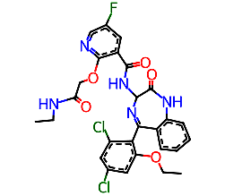 CCNC(=O)COc1ncc(F)cc1C(=O)NC1N=C(c2c(Cl)cc(Cl)cc2OCC)c2ccccc2NC1=O